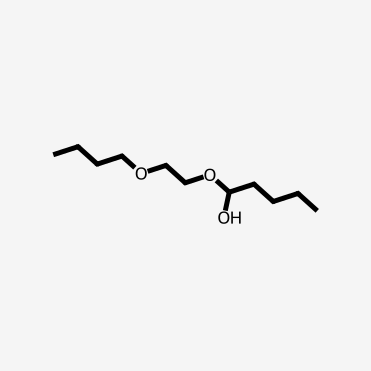 CCCCOCCOC(O)CCCC